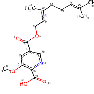 COc1cc(C(=O)OC/C=C(\C)CCC=C(C)C)cnc1C(=O)O